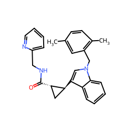 Cc1ccc(C)c(Cn2cc([C@H]3C[C@@H]3C(=O)NCc3ccccn3)c3ccccc32)c1